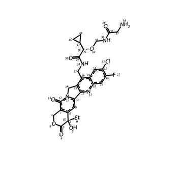 CC[C@@]1(O)C(=O)OCc2c1cc1n(c2=O)Cc2c-1nc1cc(F)c(Cl)cc1c2CNC(=O)[C@@H](OCNC(=O)CN)C1CC1